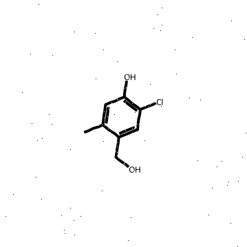 Cc1cc(O)c(Cl)cc1CO